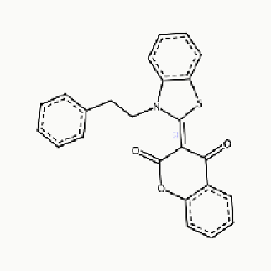 O=C1Oc2ccccc2C(=O)/C1=C1\Sc2ccccc2N1CCc1ccccc1